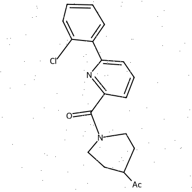 CC(=O)C1CCN(C(=O)c2cccc(-c3ccccc3Cl)n2)CC1